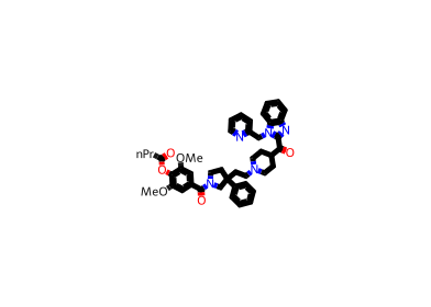 CCCC(=O)Oc1c(OC)cc(C(=O)N2CCC(CCN3CCC(C(=O)c4nc5ccccc5n4Cc4ccccn4)CC3)(c3ccccc3)C2)cc1OC